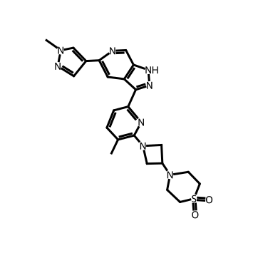 Cc1ccc(-c2n[nH]c3cnc(-c4cnn(C)c4)cc23)nc1N1CC(N2CCS(=O)(=O)CC2)C1